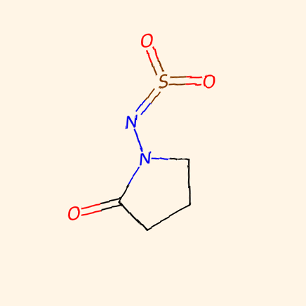 O=C1CCCN1N=S(=O)=O